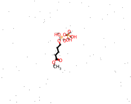 COC(=O)CCCCOP(=O)(O)OP(=O)(O)O